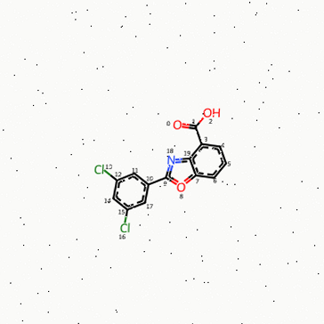 O=C(O)c1cccc2oc(-c3cc(Cl)cc(Cl)c3)nc12